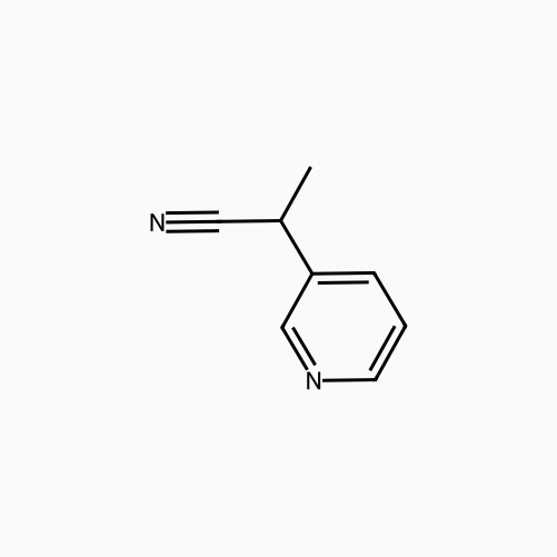 CC(C#N)c1cccnc1